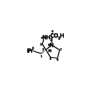 CC(C)C[C@@]1(CN)CCCN1C(=O)O